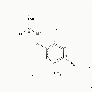 Cc1cc(/C=N/[S@+]([O-])C(C)(C)C)ccc1Br